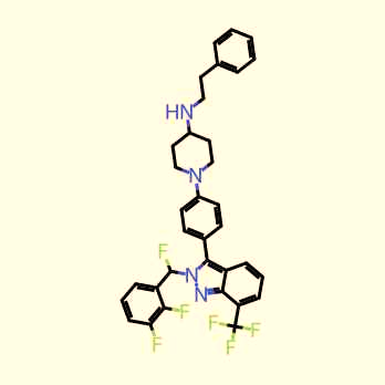 Fc1cccc(C(F)n2nc3c(C(F)(F)F)cccc3c2-c2ccc(N3CCC(NCCc4ccccc4)CC3)cc2)c1F